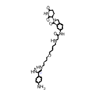 CN/C(=C\NCCCCOCCCCNCC(=O)Nc1ccc2c(c1)C(=O)N(C1CCC(=O)NC1=O)C2)c1ccc(N)cc1